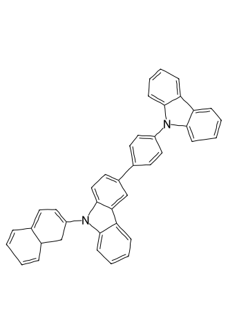 C1=CC2=CC=C(n3c4ccccc4c4cc(-c5ccc(-n6c7ccccc7c7ccccc76)cc5)ccc43)CC2C=C1